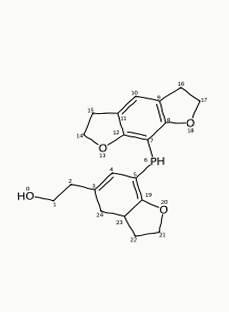 OCCC1=CC(Pc2c3c(cc4c2OCC4)CCO3)=C2OCCC2C1